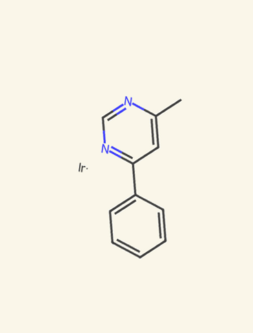 Cc1cc(-c2ccccc2)ncn1.[Ir]